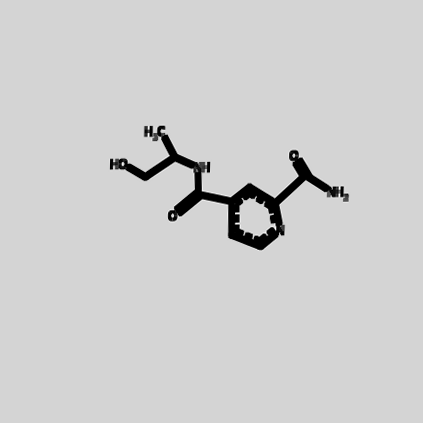 CC(CO)NC(=O)c1[c]c(C(N)=O)ncc1